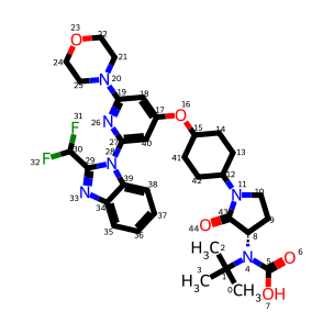 CC(C)(C)N(C(=O)O)[C@H]1CCN(C2CCC(Oc3cc(N4CCOCC4)nc(-n4c(C(F)F)nc5ccccc54)c3)CC2)C1=O